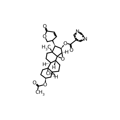 CC(=O)O[C@H]1CC[C@@]2(C)[C@H](CC[C@@H]3[C@@H]2CC[C@]2(C)[C@@H](C4C=CC(=O)OC4)[C@@H](OC(=O)c4cncnc4)[C@H]4O[C@]342)C1